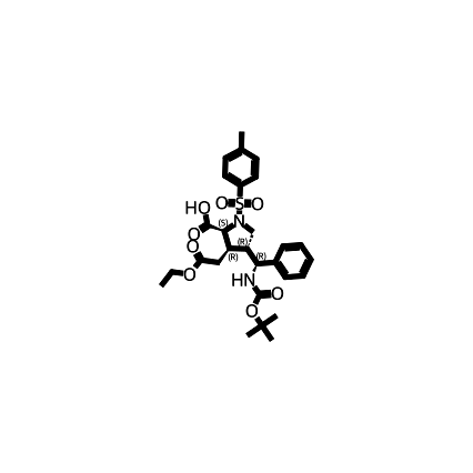 CCOC(=O)C[C@@H]1[C@@H]([C@@H](NC(=O)OC(C)(C)C)c2ccccc2)CN(S(=O)(=O)c2ccc(C)cc2)[C@@H]1C(=O)O